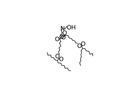 CCCCCCCCC(CCCCCC)C(=O)OCCCCCCCC(=O)OCC(CN(C)CCO)OC(=O)CCCCCCCOC(=O)C(CCCCCC)CCCCCCCC